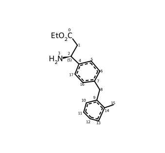 CCOC(=O)C[C@H](N)c1ccc(Cc2ccccc2C)cc1